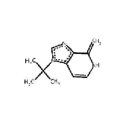 C=C1NC=Cc2c1ncn2C(C)(C)C